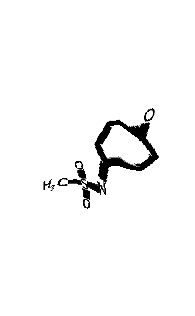 CS(=O)(=O)N=C1C=CC(=O)C=C1